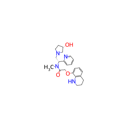 CN(C(=O)COc1cccc2c1NCCC2)[C@H](CN1CC[C@H](O)C1)c1ccccn1